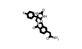 NC(=O)Cc1ccc2c(c1)CN(CC1(c3ccc(F)cc3)NC(=O)NC1=O)C2=O